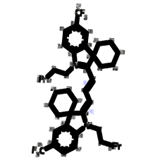 CC(C)CCN1/C(=C/C=C/C2=[N+](CCC(C)C)c3ccc(C(F)(F)F)cc3C23CCCCC3)C2(CCCCC2)c2cc(C(F)(F)F)ccc21